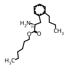 CCCCCCOC(=O)[C@@H](N)Cc1ccccc1CCCC